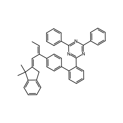 C/C=C(\C=C1/Cc2ccccc2C1(C)C)c1ccc(-c2ccccc2-c2nc(-c3ccccc3)nc(-c3ccccc3)n2)cc1